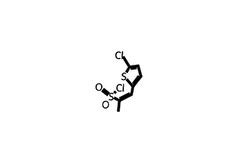 CC(=Cc1ccc(Cl)s1)S(=O)(=O)Cl